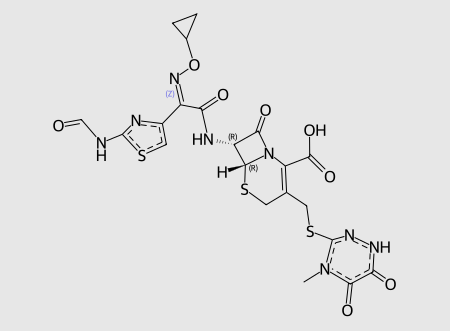 Cn1c(SCC2=C(C(=O)O)N3C(=O)[C@@H](NC(=O)/C(=N\OC4CC4)c4csc(NC=O)n4)[C@H]3SC2)n[nH]c(=O)c1=O